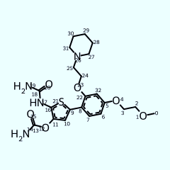 COCCOc1ccc(-c2cc(OC(N)=O)c(NC(N)=O)s2)c(OCCN2CCCCC2)c1